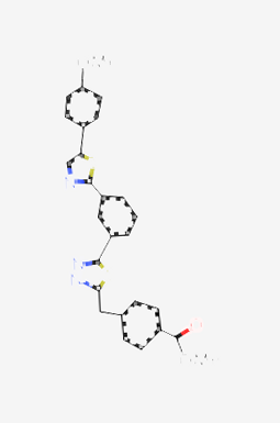 COC(=O)c1ccc(Cc2nnc(-c3cccc(-c4ncc(-c5ccc(OC)cc5)s4)c3)s2)cc1